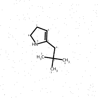 CC(C)(C)CC1=CCCN1